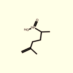 C=C(C)CCC(C)[PH](=O)O